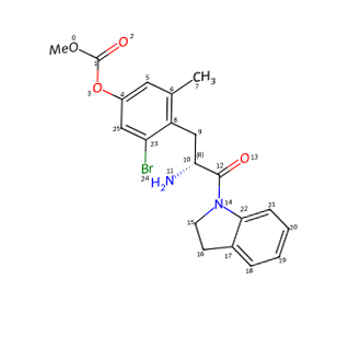 COC(=O)Oc1cc(C)c(C[C@@H](N)C(=O)N2CCc3ccccc32)c(Br)c1